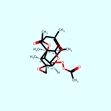 CC(=O)OO[C@]1(C(C)=O)C(OC(C)=O)[C@]2(C)[C@@]3(C)CCC(C)=C[C@H]3O[C@H]1[C@@]21CO1